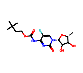 C[C@H]1O[C@@H](n2cc(F)c(NC(=O)OCCC(C)(C)C)nc2=O)C(O)C1O